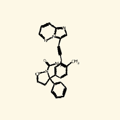 Cc1ccc(C2(c3ccccc3)CCON2C(N)=O)cc1C#Cc1cnc2cccnn12